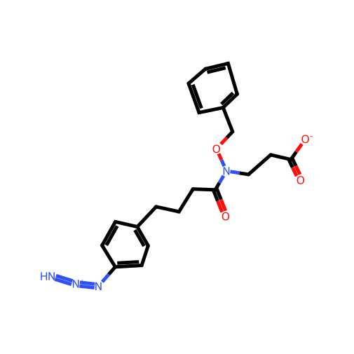 N=[N+]=Nc1ccc(CCCC(=O)N(CCC(=O)[O-])OCc2ccccc2)cc1